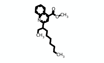 CCCCCCCC(CC)c1cc(C(=O)OC)c2ccccc2n1